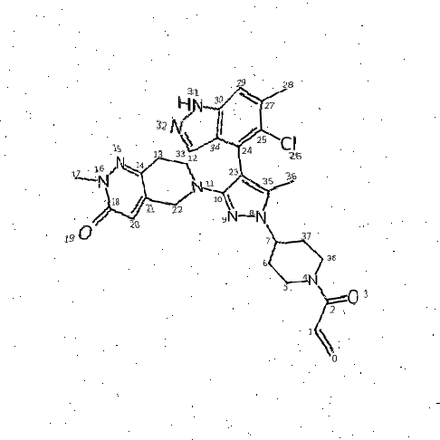 C=CC(=O)N1CCC(n2nc(N3CCc4nn(C)c(=O)cc4C3)c(-c3c(Cl)c(C)cc4[nH]ncc34)c2C)CC1